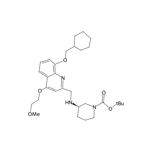 COCCOc1cc(CN[C@@H]2CCCN(C(=O)OC(C)(C)C)C2)nc2c(OCC3CCCCC3)cccc12